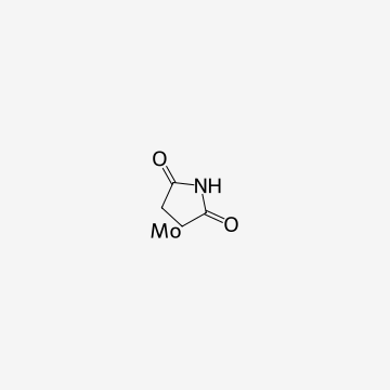 O=C1CCC(=O)N1.[Mo]